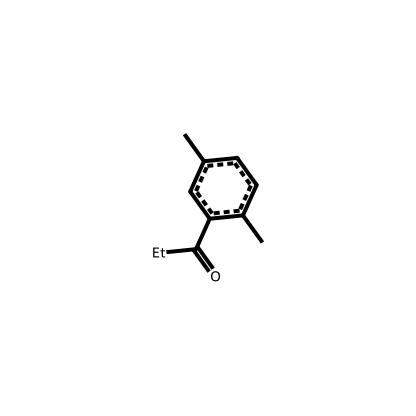 CCC(=O)c1cc(C)ccc1C